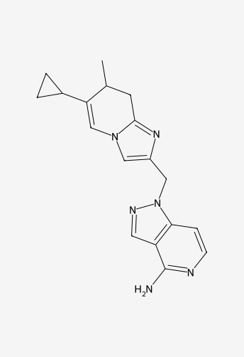 CC1Cc2nc(Cn3ncc4c(N)nccc43)cn2C=C1C1CC1